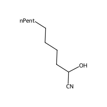 CCCCCCCCCC(O)C#N